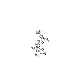 CC(C#N)NC(=O)c1cc(NC(=O)c2cc([N+](=O)[O-])cn2C)nn1C